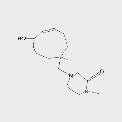 CN1CCN(CC2(C)CCC=CC(O)CC2)CC1=O